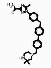 Cc1nc(C(N)=O)nn1-c1ccc(Cc2ccc(-c3ccc(CN4CCNC(C)(C)C4)cc3)cc2)cc1